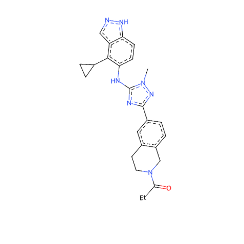 CCC(=O)N1CCc2cc(-c3nc(Nc4ccc5[nH]ncc5c4C4CC4)n(C)n3)ccc2C1